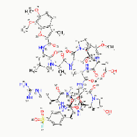 COc1ccc(C[C@H](NC(=O)[C@H](C)NC(=O)[C@H](CC(C)C)NC(=O)c2oc3c(OC)c(OC)ccc3c2C)C(=O)N2CCC[C@H]2C(=O)N[C@@H](CC(=O)O)C(=O)N[C@@H](C)C(=O)NC(C(=O)N2C[C@H](O)C[C@H]2C(=O)N[C@@H](Cc2ccc(S(=O)(=O)F)cc2)C(=O)N[C@@H](CCCNC(=N)N)C(=O)N2CCC[C@H]2C(N)=O)C(C)C)cc1